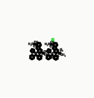 CC(C)(C)c1cc2c([c]([Hf+]([C]3=CC=CC3)[SiH](c3ccccc3)c3ccccc3)c1)Cc1c-2cccc1C(C)(C)C.CC(C)(C)c1cc2c([c]([Hf+]([C]3=CC=CC3)[SiH](c3ccccc3)c3ccccc3)c1)Cc1c-2cccc1C(C)(C)C.[Cl-].[Cl-]